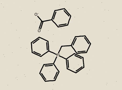 O=C([O-])c1ccccc1.c1ccc(C[P+](c2ccccc2)(c2ccccc2)c2ccccc2)cc1